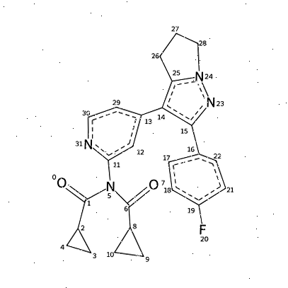 O=C(C1CC1)N(C(=O)C1CC1)c1cc(-c2c(-c3ccc(F)cc3)nn3c2CCC3)ccn1